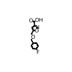 O=C(O)c1cc(COCc2ccc(F)cc2)on1